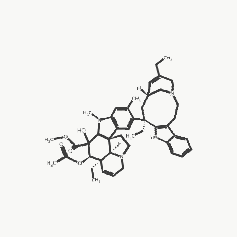 CCC1=C[C@@H]2CN(CCc3c([nH]c4ccccc34)[C@@](CC)(c3cc4c(cc3C)N(C)C3C(O)(C(=O)OC)[C@H](OC(C)=O)[C@]5(CC)C=CCN6CC[C@]43[C@@H]65)C2)C1